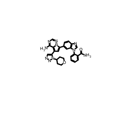 NC(=O)c1ccccc1-n1cnc2ccc(-c3cc(-c4cnnn4C4CCOCC4)c4c(N)ncnn34)cc21